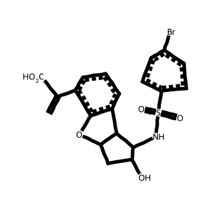 C=C(C(=O)O)c1cccc2c1OC1CC(O)C(NS(=O)(=O)c3ccc(Br)cc3)C21